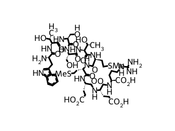 CSCC[C@H](NC(=O)[C@H](CCSC)NC(=O)[C@@H](NC(=O)[C@H](CO)NC(=O)[C@H](CO)NC(=O)[C@@H](NC(=O)[C@@H](N)Cc1c[nH]c2ccccc12)[C@@H](C)O)[C@@H](C)O)C(=O)N[C@@H](CCC(=O)O)C(=O)N[C@@H](CCC(=O)O)C(=O)N[C@@H](CCCNC(=N)N)C(=O)O